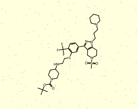 CC(C)(C)OC(=O)N1CCC(NCCSc2cc(-c3nn(CCCN4CCCCC4)c4c3CN(S(C)(=O)=O)CC4)ccc2C(F)(F)F)CC1